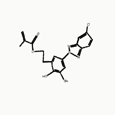 C=C(C)C(=O)OCCc1cc(-n2nc3ccc(Cl)cc3n2)cc(C(C)(C)C)c1O